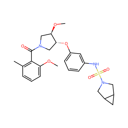 COc1cccc(C)c1C(=O)N1C[C@@H](OC)[C@H](Oc2cccc(NS(=O)(=O)N3CC4CC4C3)c2)C1